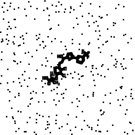 CC(C)(Oc1ccc(CCC(O)c2ccc(-c3cccc(C(F)(F)F)c3)s2)c(Cl)c1Cl)C(=O)O